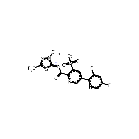 CCS(=O)(=O)c1cc(-c2ncc(F)cc2F)cnc1C(=O)/N=c1\sc(C(F)(F)F)nn1C